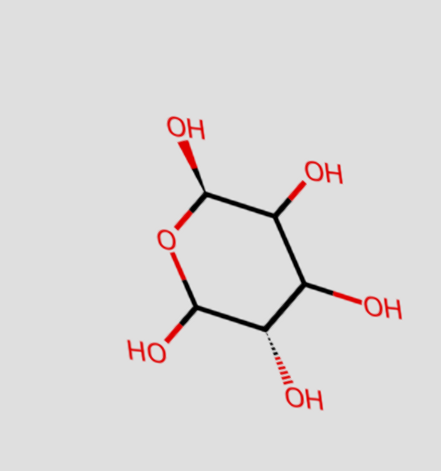 OC1O[C@@H](O)C(O)C(O)[C@@H]1O